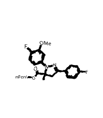 CCCCCOC(=O)C1(C)CC(c2ccc(F)cc2)=NN1c1ccc(F)c(OC)c1